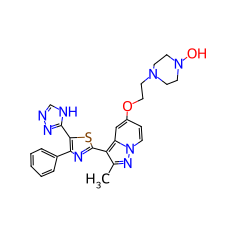 Cc1nn2ccc(OCCN3CCN(O)CC3)cc2c1-c1nc(-c2ccccc2)c(-c2nnc[nH]2)s1